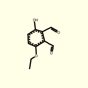 CCOc1ccc(O)c(C=O)c1C=O